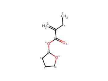 C=C(CC)C(=O)OC1CCCO1